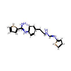 NC(=Nc1ccc(CCNC=Nc2cccs2)cc1)c1cccs1